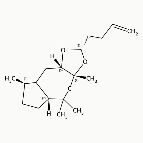 C=CCC[C@H]1O[C@H]2CC3[C@H](C)CC[C@H]3C(C)(C)C[C@@]2(C)O1